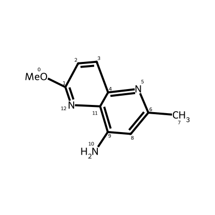 COc1ccc2nc(C)cc(N)c2n1